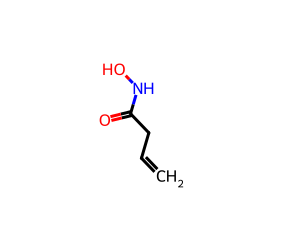 C=CCC(=O)NO